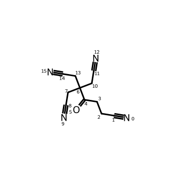 N#CCCC(=O)C(CC#N)(CC#N)CC#N